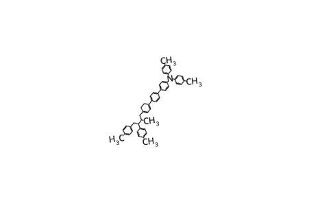 Cc1ccc(C[C@H](c2ccc(C)cc2)C(C)CC2=CC=C(c3ccc(-c4ccc(N(c5ccc(C)cc5)c5ccc(C)cc5)cc4)cc3)CC2)cc1